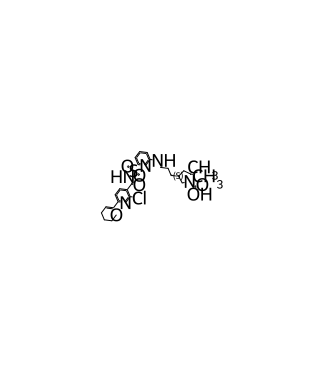 CC1(C)C[C@H](CCCNc2cccc(S(=O)(=O)NC(=O)c3ccc(C4=CCCCO4)nc3Cl)n2)CN1C(=O)O